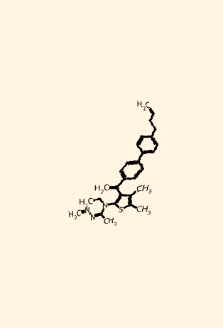 C=CCCc1ccc(-c2ccc(C(=C)c3c(N(CC)/C(C)=N\N=C)sc(C)c3C)cc2)cc1